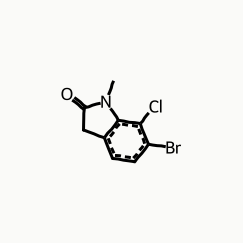 CN1C(=O)Cc2ccc(Br)c(Cl)c21